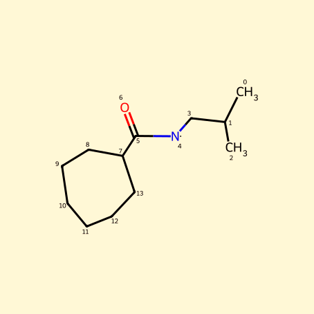 CC(C)C[N]C(=O)C1CCCCCC1